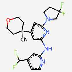 N#CC1(c2cc(Nc3cc(C(F)F)ccn3)nc(N3CCC(F)(F)C3)c2)CCOCC1